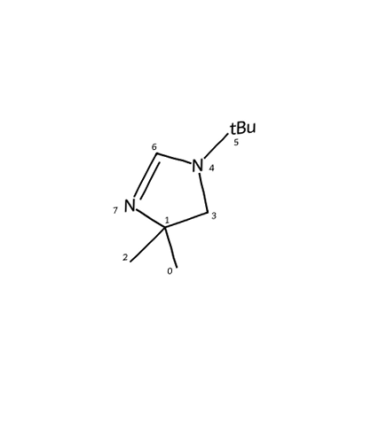 CC1(C)CN(C(C)(C)C)C=N1